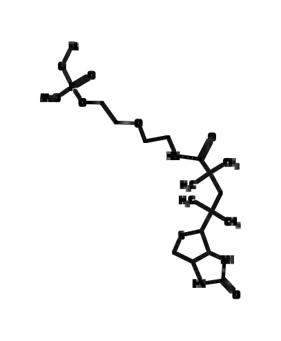 CCOP(=O)(OC)OCCOCCNC(=O)C(C)(C)CC(C)(C)C1SCC2NC(=O)NC21